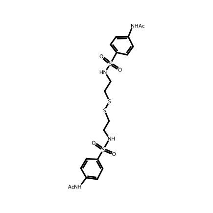 CC(=O)Nc1ccc(S(=O)(=O)NCCSSCCNS(=O)(=O)c2ccc(NC(C)=O)cc2)cc1